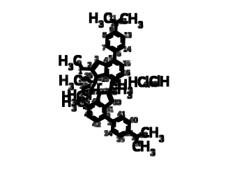 CCC1=Cc2c(-c3ccc(C(C)C)cc3)ccc(C)c2[CH]1[Zr](=[SiH2])([CH2]C)([CH2]C)[CH]1C(C)=Cc2c(-c3ccc(C(C)C)cc3)ccc(C)c21.Cl.Cl